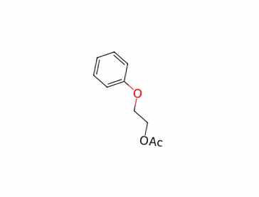 [CH2]C(=O)OCCOc1ccccc1